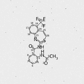 CC(=O)Nc1ccccc1C(=O)NC1=Nc2cccc(C(F)(F)F)c2C=CS1